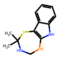 CC1(C)NCPc2[nH]c3ccccc3c2S1